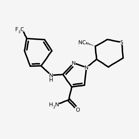 N#C[C@@H]1CSCCC1n1cc(C(N)=O)c(Nc2ccc(C(F)(F)F)cc2)n1